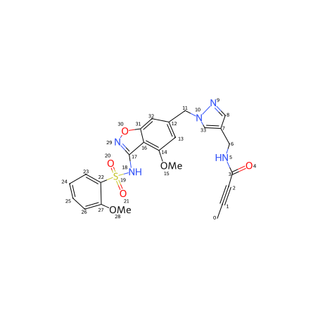 CC#CC(=O)NCc1cnn(Cc2cc(OC)c3c(NS(=O)(=O)c4ccccc4OC)noc3c2)c1